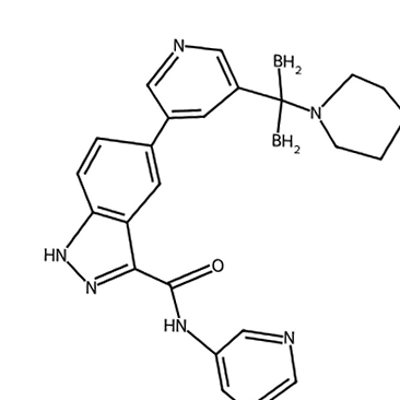 BC(B)(c1cncc(-c2ccc3[nH]nc(C(=O)Nc4cccnc4)c3c2)c1)N1CCCCC1